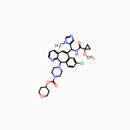 COC1(C(=O)NC(C2=Cc3cccnc3C(N3CCN(C(=O)OC4CCOCC4)CC3)c3ccc(Cl)cc32)c2cncn2C)CC1